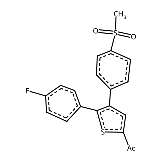 CC(=O)c1cc(-c2ccc(S(C)(=O)=O)cc2)c(-c2ccc(F)cc2)s1